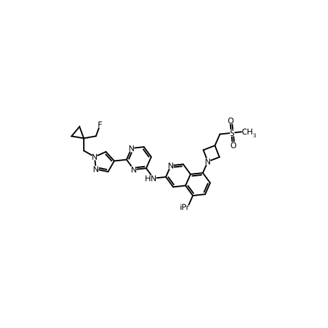 CC(C)c1ccc(N2CC(CS(C)(=O)=O)C2)c2cnc(Nc3ccnc(-c4cnn(CC5(CF)CC5)c4)n3)cc12